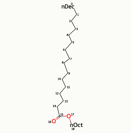 CCCCCCCCCCCCCCCCCCCCCCCCC(=O)OCCCCCCCC